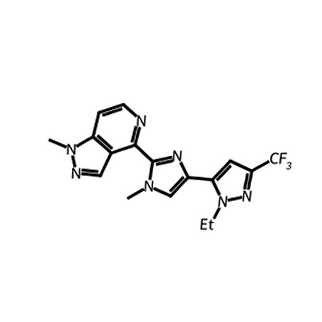 CCn1nc(C(F)(F)F)cc1-c1cn(C)c(-c2nccc3c2cnn3C)n1